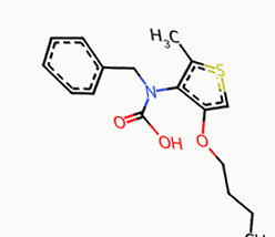 CCCCOc1csc(C)c1N(Cc1ccccc1)C(=O)O